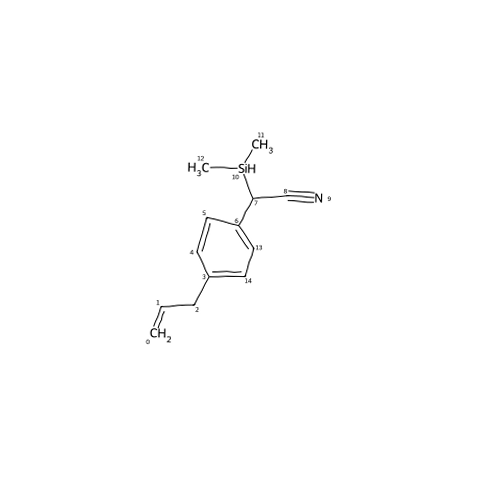 C=CCc1ccc(C(C#N)[SiH](C)C)cc1